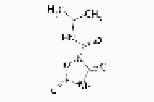 CC(C)NC(=O)n1oc(=O)[nH]c1=O